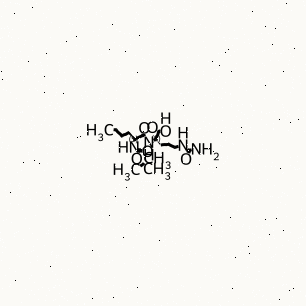 CCCC[C@H](NC(=O)OC(C)(C)C)C(=O)N[C@@H](CCCNC(N)=O)C(=O)O